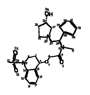 CN(C(=O)COC1CCN(S(C)(=O)=O)c2ccccc21)C(CN1CC[C@H](O)C1)c1ccccc1